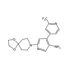 Nc1cnc(N2CCC3(CC2)OCCO3)cc1-c1ccnc(C(F)(F)F)c1